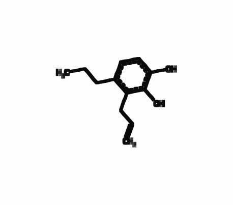 C=CCc1c(CCC)ccc(O)c1O